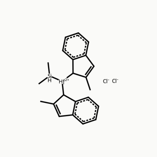 CC1=Cc2ccccc2[CH]1[Hf+2]([CH]1C(C)=Cc2ccccc21)[SiH](C)C.[Cl-].[Cl-]